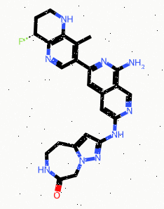 Cc1c(-c2cc3cc(Nc4cc5n(n4)CC(=O)NCC5)ncc3c(N)n2)cnc2c1NCC[C@H]2F